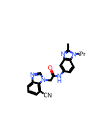 Cc1nc2cc(NC(=O)Cn3cnc4cccc(C#N)c43)ccc2n1C(C)C